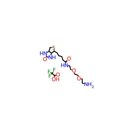 NCCOCCOCCNC(=O)CCCCC1SCC2NC(=O)NC21.O=C(O)C(F)(F)F